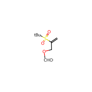 C=C(CO[C]=O)S(=O)(=O)C(C)(C)C